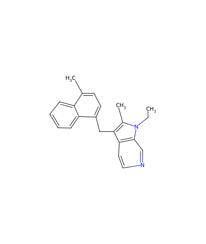 CCn1c(C)c(Cc2ccc(C)c3ccccc23)c2ccncc21